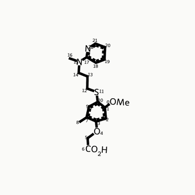 COc1cc(OCC(=O)O)c(C)cc1SCCCN(C)c1ccccn1